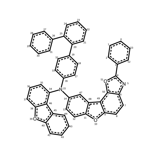 c1ccc(-c2nc3ccc4oc5ccc(N(c6ccc(-c7ccccc7-c7ccccc7)cc6)c6cccc7oc8ccccc8c67)cc5c4c3o2)cc1